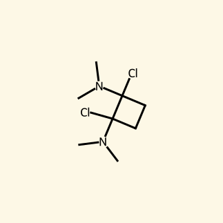 CN(C)C1(Cl)CCC1(Cl)N(C)C